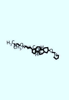 CN(C)CCON=CC=CC1CC[C@@]2(O)[C@@H]3CCC4CC(OCCN5CCCC5)CC[C@]4(C)[C@@H]3CC[C@]12C